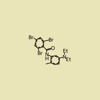 CCN(CC)c1ccc(C)c(NC(=O)c2c(Br)cc(Br)cc2Br)c1